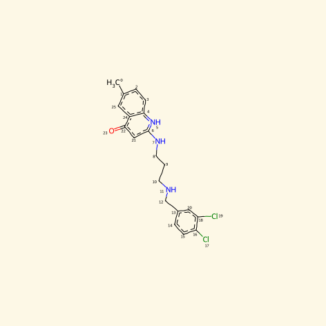 Cc1ccc2[nH]c(NCCCNCc3ccc(Cl)c(Cl)c3)cc(=O)c2c1